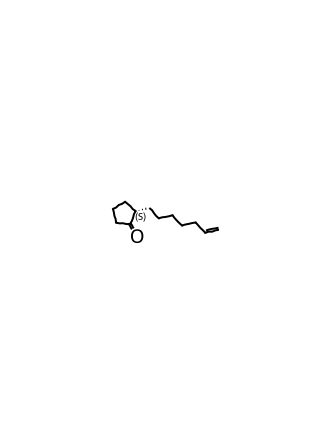 C=CCCCCC[C@H]1CCCC1=O